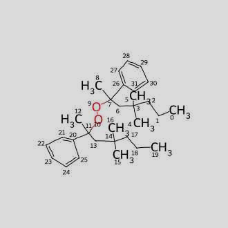 CCCC(C)(C)CC(C)(OOC(C)(CC(C)(C)CCC)c1ccccc1)c1ccccc1